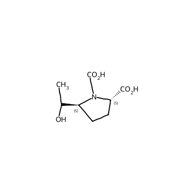 CC(O)[C@@H]1CC[C@@H](C(=O)O)N1C(=O)O